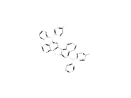 CCc1ccc(N(c2ccccc2)c2cc3c(sc4cc(N(c5ccccc5)c5ccc(C(C)C)cc5)c5ccccc5c43)c3ccccc23)cc1